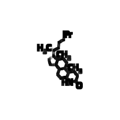 CC(C)CCC[C@@H](C)[C@H]1CCC2C3CC=C4NC(=O)CC[C@]4(C)C3CC[C@@]21C